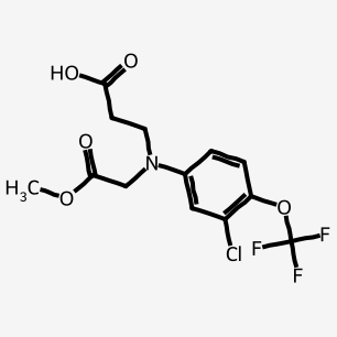 COC(=O)CN(CCC(=O)O)c1ccc(OC(F)(F)F)c(Cl)c1